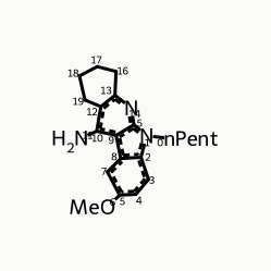 CCCCCn1c2ccc(OC)cc2c2c(N)c3c(nc21)CCCC3